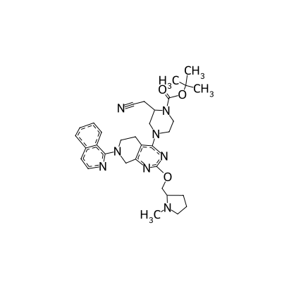 CN1CCCC1COc1nc2c(c(N3CCN(C(=O)OC(C)(C)C)C(CC#N)C3)n1)CCN(c1nccc3ccccc13)C2